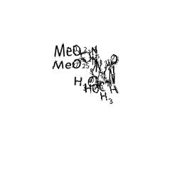 COc1cc2ncn(-c3cc(C)c([C@@H](C)O)c(-c4cc[nH]c(=O)c4)n3)c2cc1OC